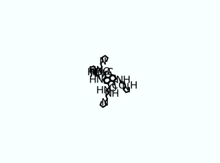 O=C(O)c1cc(NCCN2CCCC2)c(C(=O)O)c2c(C(=O)NNCCN3CCCC3)cc(NCCN3CCCC3)c(C(=O)NNCCN3CCCC3)c12